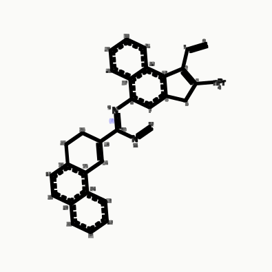 C=CC1=C(CCC)Cc2cc(/N=C(\N=C)C3=Cc4c(ccc5ccccc45)CC3)c3ccccc3c21